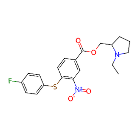 CCN1CCCC1COC(=O)c1ccc(Sc2ccc(F)cc2)c([N+](=O)[O-])c1